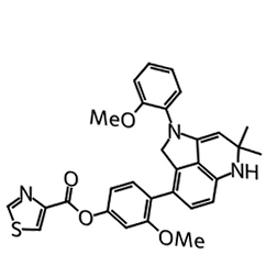 COc1cc(OC(=O)c2cscn2)ccc1-c1ccc2c3c1CN(c1ccccc1OC)C3=CC(C)(C)N2